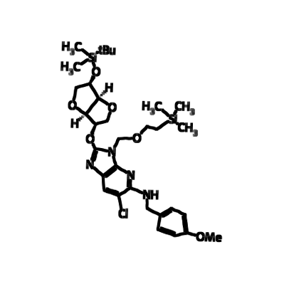 COc1ccc(CNc2nc3c(cc2Cl)nc(O[C@@H]2CO[C@H]4[C@@H]2OC[C@H]4O[Si](C)(C)C(C)(C)C)n3COCC[Si](C)(C)C)cc1